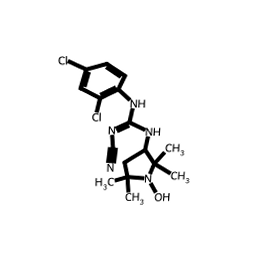 CC1(C)CC(NC(=NC#N)Nc2ccc(Cl)cc2Cl)C(C)(C)N1O